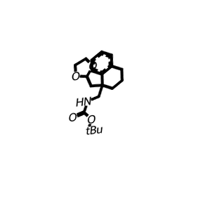 CC(C)(C)OC(=O)NCC1(CC2OCCO2)CCCc2ccccc21